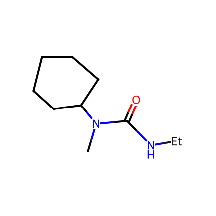 CCNC(=O)N(C)C1CCCCC1